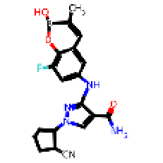 CC1=Cc2cc(Nc3nn(C4CCCC4C#N)cc3C(N)=O)cc(F)c2OB1O